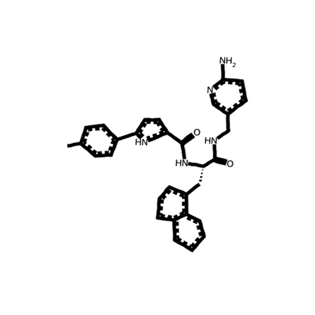 Cc1ccc(-c2ccc(C(=O)N[C@@H](Cc3cccc4ccccc34)C(=O)NCc3ccc(N)nc3)[nH]2)cc1